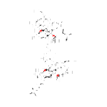 C[SiH](C)CO[Si](C)(C)O[Si](O[Si](O[SiH3])(O[SiH3])O[SiH3])(O[Si](O[SiH3])(O[SiH3])O[SiH3])O[Si](O[SiH3])(O[SiH3])O[SiH2]O[SiH2]O[SiH](C)O[Si](O[Si](O[SiH3])(O[SiH3])O[SiH3])(O[Si](O[SiH3])(O[SiH3])O[SiH3])O[Si](O[SiH3])(O[SiH3])O[SiH2]O[SiH2]O[Si](C)(C)C